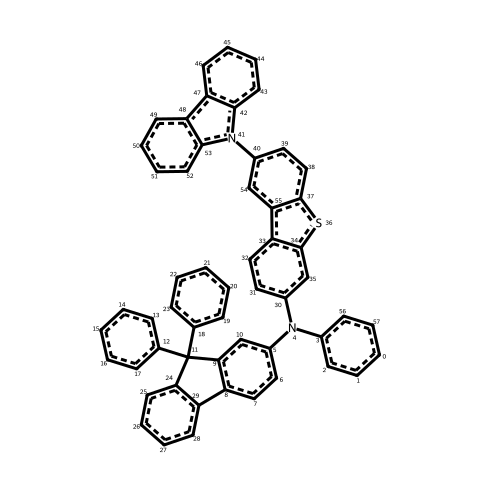 c1ccc(N(c2ccc3c(c2)C(c2ccccc2)(c2ccccc2)c2ccccc2-3)c2ccc3c(c2)sc2ccc(-n4c5ccccc5c5ccccc54)cc23)cc1